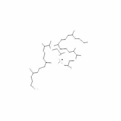 CC(C)CCCC(C)CCCC(C)CCCC(C)C(C)OCC(C)OP(=O)(O)OC(C)COC(C)C(C)CCCC(C)CCCC(C)CCCC(C)C